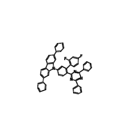 Fc1ccc(-c2cc(-n3c4cc(-c5ccccc5)ccc4c4ccc(-c5ccccc5)cc43)ccc2-c2nc(-c3ccccc3)nc(-c3ccccc3)n2)c(F)c1